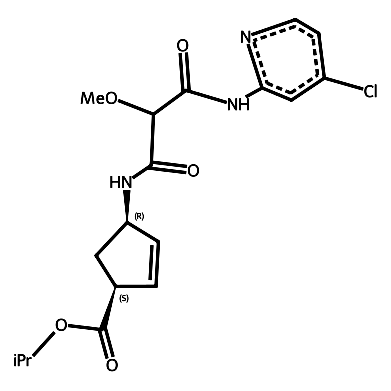 COC(C(=O)Nc1cc(Cl)ccn1)C(=O)N[C@H]1C=C[C@@H](C(=O)OC(C)C)C1